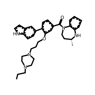 CCCN1CCN(CCCOc2cc(C(=O)N3CC[C@@H](C)Nc4ccccc43)ccc2-c2ccc3[nH]ccc3c2)CC1